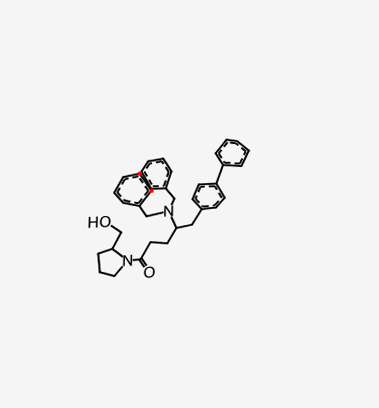 O=C(CCC(Cc1ccc(-c2ccccc2)cc1)N(Cc1ccccc1)Cc1ccccc1)N1CCCC1CO